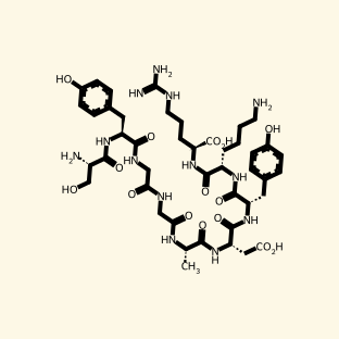 C[C@H](NC(=O)CNC(=O)CNC(=O)[C@H](Cc1ccc(O)cc1)NC(=O)[C@@H](N)CO)C(=O)N[C@@H](CC(=O)O)C(=O)N[C@@H](Cc1ccc(O)cc1)C(=O)N[C@@H](CCCCN)C(=O)N[C@@H](CCCNC(=N)N)C(=O)O